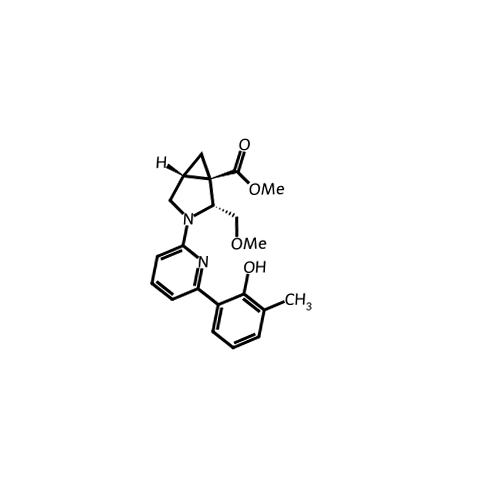 COC[C@@H]1N(c2cccc(-c3cccc(C)c3O)n2)C[C@@H]2C[C@@]21C(=O)OC